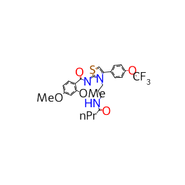 CCCC(=O)NCCCn1c(-c2ccc(OC(F)(F)F)cc2)cs/c1=N\C(=O)c1ccc(OC)cc1OC